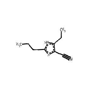 CCCc1nc(C#N)c(CC)[nH]1